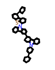 c1ccc(-c2ccc(-n3c4ccccc4c4cc(-c5ccc6c(c5)c5ccccc5n6-c5cccc6c5sc5cccc(-c7ccccc7)c56)ccc43)cc2)cc1